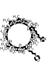 CC[C@@H]1NC(=O)[C@H]([C@H](O)[C@H](C)CCCCCn2cncn2)NC(=O)[C@H](C(C)C)N(C)C(=O)[C@H](CC(C)C)N(C)C(=O)[C@H](CC(C)C)N(C)C(=O)[C@@H](C)NC(=O)[C@H](C)NC(=O)[C@H](CC(C)C)N(C)C(=O)[C@H](C(C)C)NC(=O)[C@H]([C@@H](C)OCCCCN2CCOCC2)N(C)C(=O)[C@@H](C)N(C)C1=O